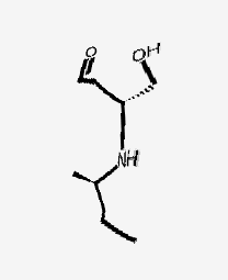 CC[C@@H](C)N[C@H](C=O)CO